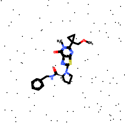 COCC1(c2nc3sc(N4CCC[C@@H]4C(=O)NCc4ccccc4)nc3c(=O)n2C)CC1